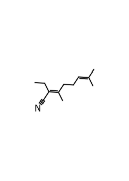 CC/C(C#N)=C(/C)CCC=C(C)C